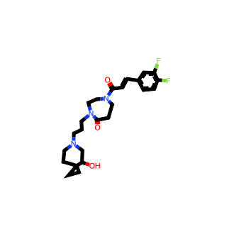 O=C(/C=C/c1ccc(F)c(F)c1)N1CCC(=O)N(CCCN2CCC3(CC3)C(O)C2)CC1